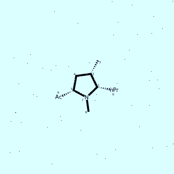 CCC[C@H]1[C@@H](C)C[C@@H](C(C)=O)N1C